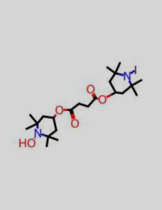 CC1(C)CC(OC(=O)CCC(=O)OC2CC(C)(C)N(I)C(C)(C)C2)CC(C)(C)N1O